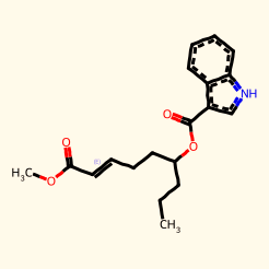 CCCC(CC/C=C/C(=O)OC)OC(=O)c1c[nH]c2ccccc12